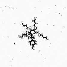 CCCCOC[C@H]1O[C@@](O)(C(F)(F)c2ccc(Cl)cc2)[C@H](OCCCC)[C@@H](OCCCC)[C@@H]1OCCCC